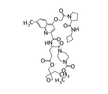 CCOC(=O)N1CCN(C(=O)C(CCC(=O)OCC2(CC)COC2)NC(=O)c2cc(OCC(=O)N3CCCC3C(=O)NC3CCC3)c3ccc(C)cc3n2)CC1